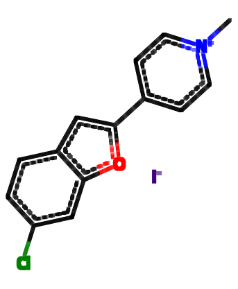 C[n+]1ccc(-c2cc3ccc(Cl)cc3o2)cc1.[I-]